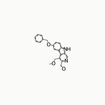 COCc1c(C=O)ncc2[nH]c3ccc(OCc4ccccc4)cc3c12